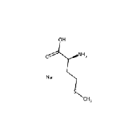 CSCC[C@H](N)C(=O)O.[Na]